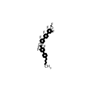 CCCCCc1ccc(-c2cc(F)c(C(F)(F)Oc3ccc(-c4ccc(-c5cc(F)c(OCF)c(F)c5)c(F)c4)c(F)c3)c(F)c2)cc1